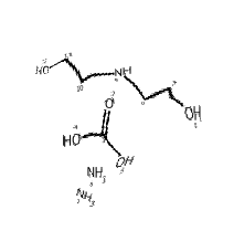 N.N.O=C(O)O.OCCNCCO